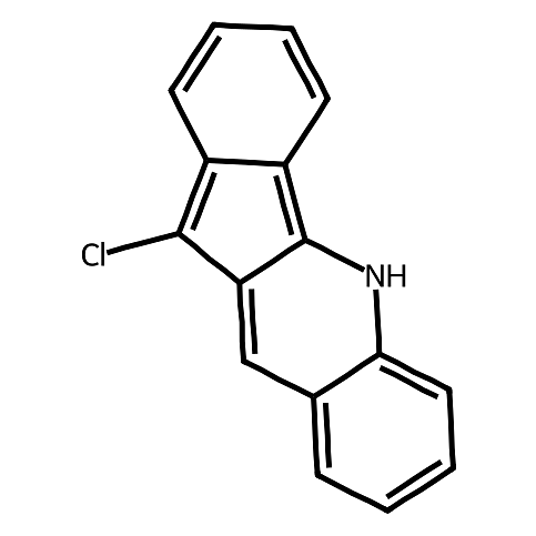 Clc1c2cc3ccccc3[nH]c-2c2ccccc12